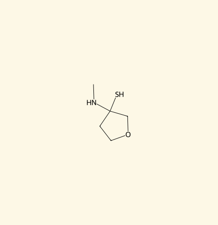 CNC1(S)CCOC1